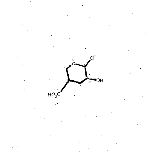 O=C(O)C1COC(Cl)[C@@H](O)C1